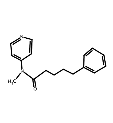 CN(C(=O)CCCCc1ccccc1)c1ccncc1